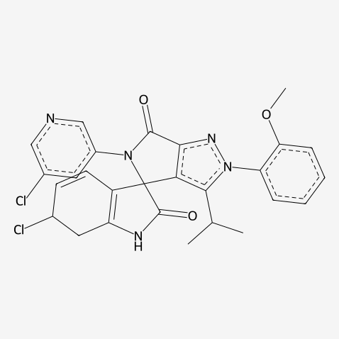 COc1ccccc1-n1nc2c(c1C(C)C)C1(C(=O)NC3=C1C=CC(Cl)C3)N(c1cncc(Cl)c1)C2=O